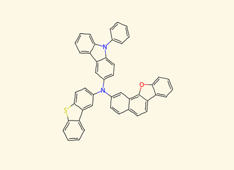 c1ccc(-n2c3ccccc3c3cc(N(c4ccc5sc6ccccc6c5c4)c4ccc5ccc6c7ccccc7oc6c5c4)ccc32)cc1